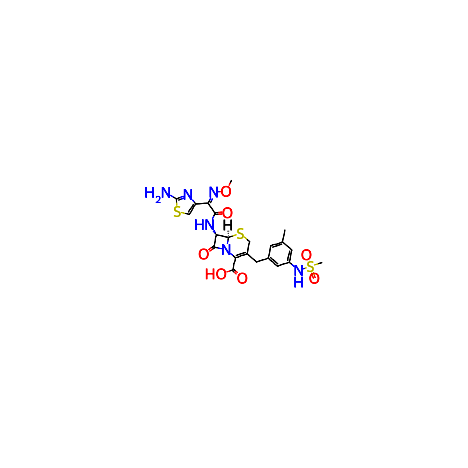 CO/N=C(\C(=O)N[C@@H]1C(=O)N2C(C(=O)O)=C(Cc3cc(C)cc(NS(C)(=O)=O)c3)CS[C@H]12)c1csc(N)n1